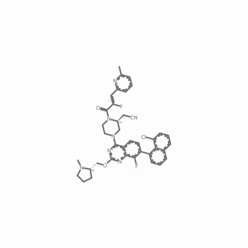 Cc1cccc(/C=C(\F)C(=O)N2CCN(c3nc(OC[C@@H]4CCCN4C)nc4c(F)c(-c5cccc6cccc(Cl)c56)ccc34)C[C@@H]2CC#N)n1